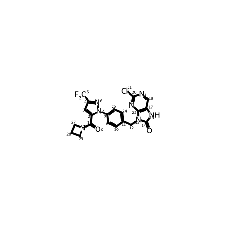 O=C(c1cc(C(F)(F)F)nn1-c1ccc(Cn2c(=O)[nH]c3cnc(Cl)nc32)cc1)N1CCC1